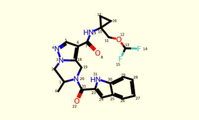 CC1Cn2ncc(C(=O)NC3(COC(F)F)CC3)c2CN1C(=O)c1cc2ccccc2[nH]1